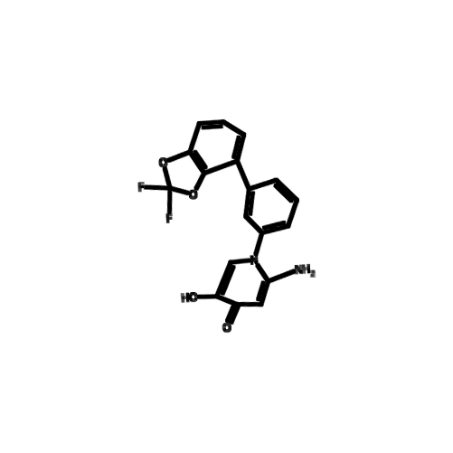 Nc1cc(=O)c(O)cn1-c1cccc(-c2cccc3c2OC(F)(F)O3)c1